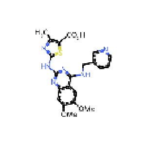 COc1cc2nc(Nc3nc(C)c(C(=O)O)s3)nc(NCc3cccnc3)c2cc1OC